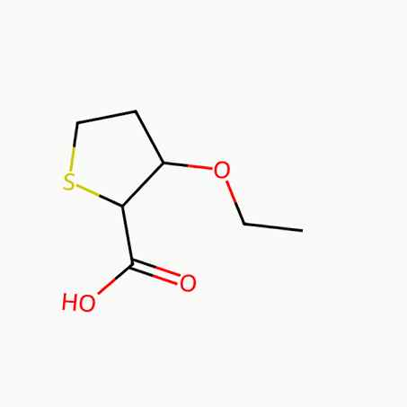 CCOC1CCSC1C(=O)O